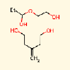 C=C(CCO)CCO.CCC(O)OCCO